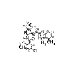 CCCCN(C(=O)c1cccc(Cl)c1)c1nc2n(c1OC(=O)NCc1cccc(C)c1C)CCCC2